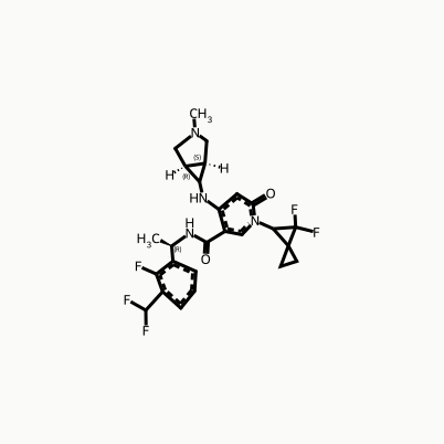 C[C@@H](NC(=O)c1cn(C2C(F)(F)C23CC3)c(=O)cc1NC1[C@H]2CN(C)C[C@@H]12)c1cccc(C(F)F)c1F